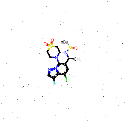 CCCC[S@+]([O-])N[C@@H](C)c1cc(Cl)c2c(F)cnn2c1N1CCS(=O)(=O)CC1